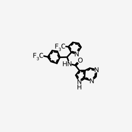 O=C(NC(c1ccc(C(F)(F)F)cc1)c1ncccc1C(F)(F)F)c1c[nH]c2ncncc12